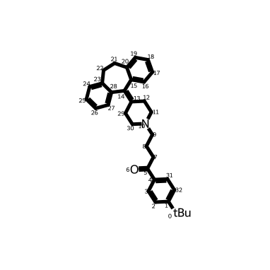 CC(C)(C)c1ccc(C(=O)CCCN2CCC(=C3c4ccccc4CCc4ccccc43)CC2)cc1